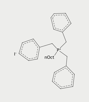 CCCCCCCC[P+](Cc1ccccc1)(Cc1ccccc1)Cc1ccccc1.[I-]